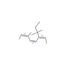 C\C=C(C)/C=C\C(=C/C)C(C)(C)CC